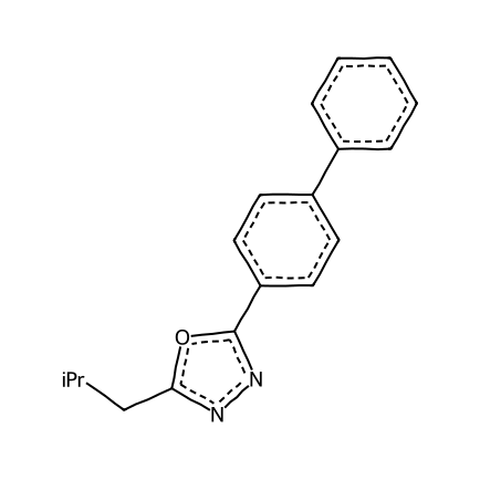 CC(C)Cc1nnc(-c2ccc(-c3ccccc3)cc2)o1